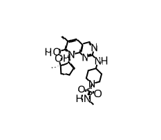 CNS(=O)(=O)N1CCC(Nc2ncc3c(n2)N([C@@H]2CCC[C@@]2(C)O)C(O)C(C)=C3)CC1